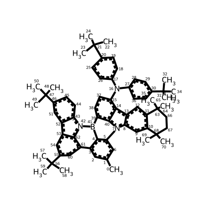 Cc1cc2c3c(c1)-n1c4cc5c(cc4c4c(N(c6ccc(C(C)(C)C)cc6)c6ccc(C(C)(C)C)cc6)ccc(c41)B3n1c3ccc(C(C)(C)C)cc3c3cc(C(C)(C)C)cc-2c31)C(C)(C)CCC5(C)C